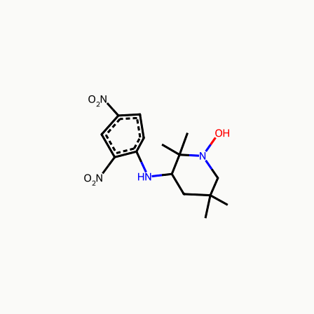 CC1(C)CC(Nc2ccc([N+](=O)[O-])cc2[N+](=O)[O-])C(C)(C)N(O)C1